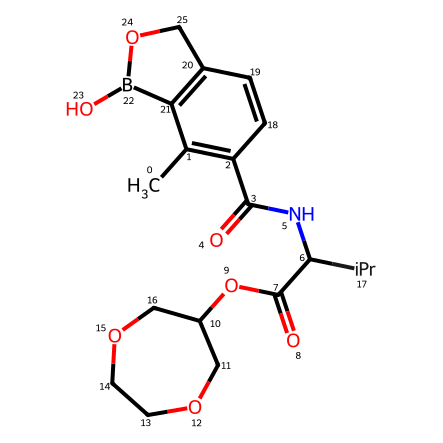 Cc1c(C(=O)NC(C(=O)OC2COCCOC2)C(C)C)ccc2c1B(O)OC2